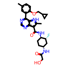 Cc1ccc(OCC2CC2)c(-c2ncnc3c(C(=O)N[C@@H]4CC[C@@H](NC(=O)CO)C[C@H]4F)c(C)[nH]c23)c1